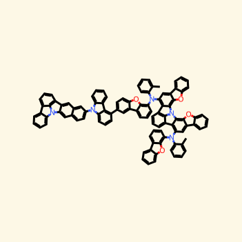 Cc1ccccc1N(c1cccc2c1oc1ccccc12)c1cc2c3ccccc3oc2c2c1c1cccc3c4c(N(c5ccccc5C)c5cccc6c5oc5ccc(-c7cccc8c7c7ccccc7n8-c7ccc8cc9c(cc8c7)c7cccc8c%10ccccc%10n9c87)cc56)cc5c6ccccc6oc5c4n2c13